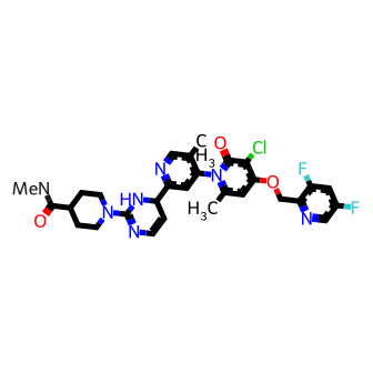 CNC(=O)C1CCN(C2=NC=CC(c3cc(-n4c(C)cc(OCc5ncc(F)cc5F)c(Cl)c4=O)c(C)cn3)N2)CC1